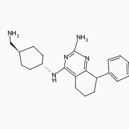 NC[C@H]1CC[C@H](Nc2nc(N)nc3c2CCCC3c2ccccc2)CC1